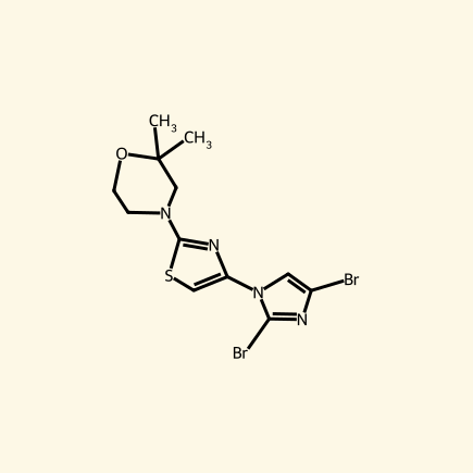 CC1(C)CN(c2nc(-n3cc(Br)nc3Br)cs2)CCO1